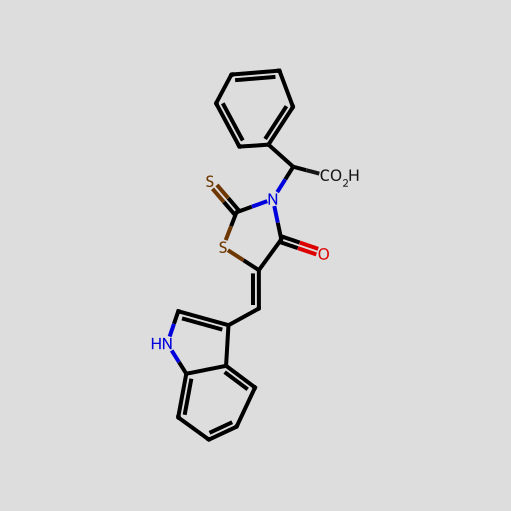 O=C(O)C(c1ccccc1)N1C(=O)C(=Cc2c[nH]c3ccccc23)SC1=S